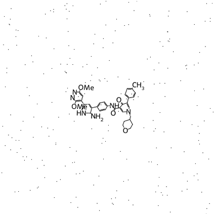 COc1cc(C2=CNC(N)C(c3ccc(NC(=O)c4cn(CC5CCOCC5)cc(-c5ccc(C)cc5)c4=O)cc3)=C2)c(OC)nn1